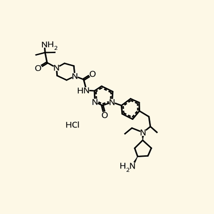 CCN(C(C)Cc1ccc(-n2ccc(NC(=O)N3CCN(C(=O)C(C)(C)N)CC3)nc2=O)cc1)[C@H]1CC[C@@H](N)C1.Cl